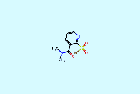 CN(C)C(=O)c1cccnc1S(=O)(=O)Br